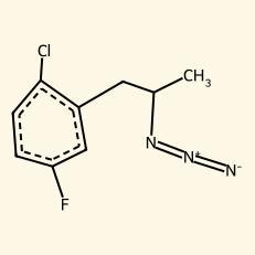 CC(Cc1cc(F)ccc1Cl)N=[N+]=[N-]